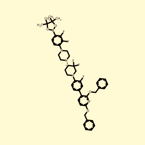 CC1(C)OB(c2ccc(N3CCN([C@H]4CCN(c5ccc(-c6ccc(OCc7ccccc7)nc6OCc6ccccc6)cc5F)CC4(F)F)CC3)c(F)c2F)OC1(C)C